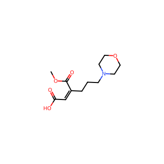 COC(=O)C(=CC(=O)O)CCCN1CCOCC1